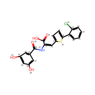 O=C(O)/C(=C\c1ccc(-c2ccccc2Cl)s1)NC(=O)c1cc(O)cc(O)c1